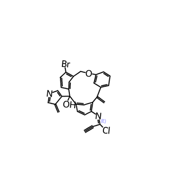 C#C/C(Cl)=N\c1ccc2cc1C(=C)c1cccc(c1)OCc1cc(ccc1Br)C2(O)C1=CN=CC1=C